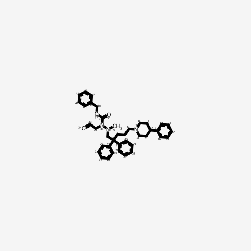 CN(CC(CCCN1CCC(c2ccccc2)CC1)(c1ccccc1)c1ccccc1)N(CC=O)C(=O)OCc1ccccc1